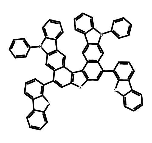 c1ccc(-n2c3ccccc3c3cc4c(cc32)c(-c2cccc3c2sc2ccccc23)cc2sc3cc(-c5cccc6c5sc5ccccc56)c5cc6c(cc5c3c24)c2ccccc2n6-c2ccccc2)cc1